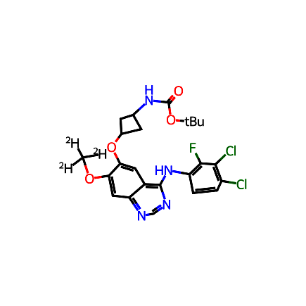 [2H]C([2H])([2H])Oc1cc2ncnc(Nc3ccc(Cl)c(Cl)c3F)c2cc1OC1CC(NC(=O)OC(C)(C)C)C1